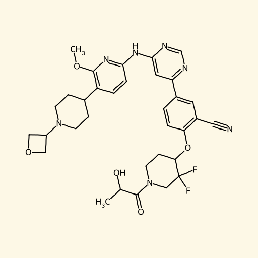 COc1nc(Nc2cc(-c3ccc(OC4CCN(C(=O)C(C)O)CC4(F)F)c(C#N)c3)ncn2)ccc1C1CCN(C2COC2)CC1